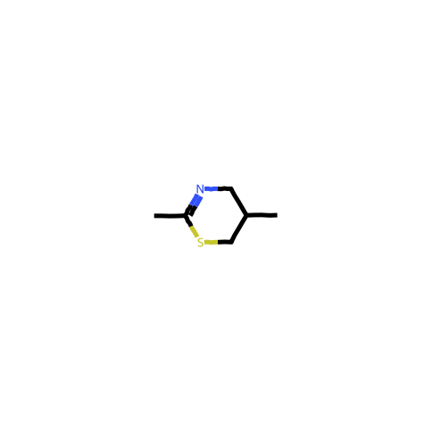 CC1=NCC(C)CS1